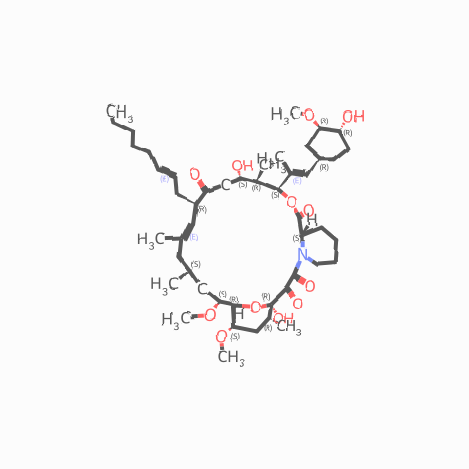 CCCCC/C=C/C[C@@H]1/C=C(\C)C[C@H](C)C[C@H](OC)[C@H]2O[C@@](O)(C(=O)C(=O)N3CCCC[C@H]3C(=O)O[C@H](/C(C)=C/[C@@H]3CC[C@@H](O)[C@H](OC)C3)[C@H](C)[C@@H](O)CC1=O)[C@H](C)C[C@@H]2OC